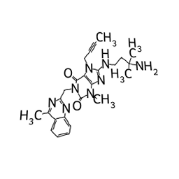 CC#CCn1c(NCCC(C)(C)N)nc2c1c(=O)n(Cc1nc(C)c3ccccc3n1)c(=O)n2C